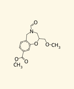 COCC1CN(C=O)Cc2ccc(C(=O)OC)cc2O1